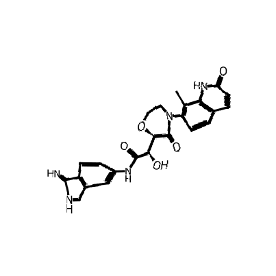 Cc1c(N2CCO[C@H]([C@@H](O)C(=O)Nc3ccc4c(c3)CNC4=N)C2=O)ccc2ccc(=O)[nH]c12